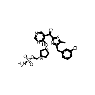 Cc1sc(C(=O)c2cncnc2N[C@H]2CC[C@@H](COS(N)(=O)=O)C2)nc1Cc1cccc(Cl)c1